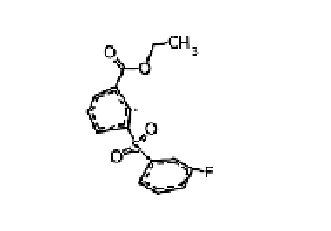 CCOC(=O)c1[c]c(S(=O)(=O)c2cccc(F)c2)ccc1